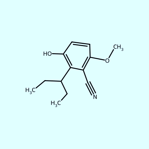 CCC(CC)c1c(O)ccc(OC)c1C#N